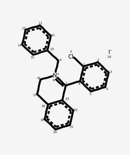 Clc1ccccc1C1=[N+](Cc2ccccc2)CCc2ccccc21.[I-]